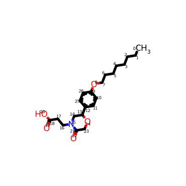 CCCCCCCCOc1ccc(C2CN(CCC(=O)O)C(=O)CO2)cc1